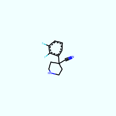 N#CC1(c2cccc(F)c2F)CCNCC1